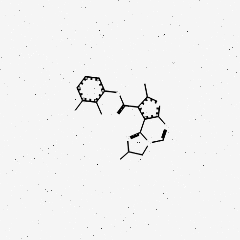 CCC1CN2C=Nc3oc(C)c(C(=O)Nc4cccc(Cl)c4C)c3C2=N1